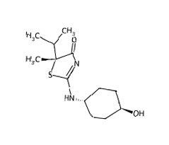 CC(C)[C@@]1(C)SC(N[C@H]2CC[C@H](O)CC2)=NC1=O